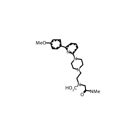 CNC(=O)CN(CCN1CCN(c2cccc(-c3ccc(OC)cc3)n2)CC1)C(=O)O